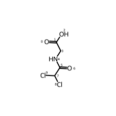 O=C(O)CNC(=O)C(Cl)Cl